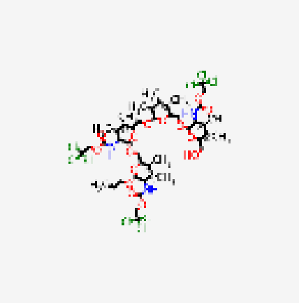 C=CCO[C@@H]1OC(CO[C@@H]2OC(CO[C@@H]3OC(CO[C@@H]4OC(CO)[C@@H](C)[C@H](C)C4NC(=O)OCC(Cl)(Cl)Cl)[C@@H](C)[C@H](C)C3C)[C@@H](C)[C@H](C)C2NC(=O)OCC(Cl)(Cl)Cl)[C@@H](C)[C@H](C)C1NC(=O)OCC(Cl)(Cl)Cl